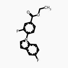 CCOC(=O)c1ccc(-n2ccc3cc(F)ccc32)c(F)c1